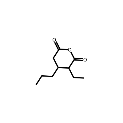 CCCC1CC(=O)OC(=O)C1CC